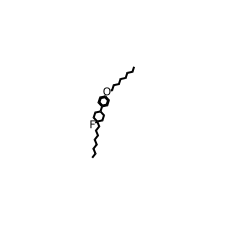 CCCCCCCCOc1ccc(C2CCC(F)(CCCCCCCC)CC2)cc1